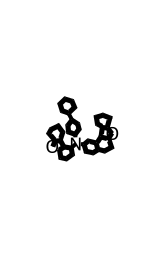 c1ccc(-c2ccc(N(c3ccc4ccc5oc6ccccc6c5c4c3)c3cccc4oc5ccccc5c34)cc2)cc1